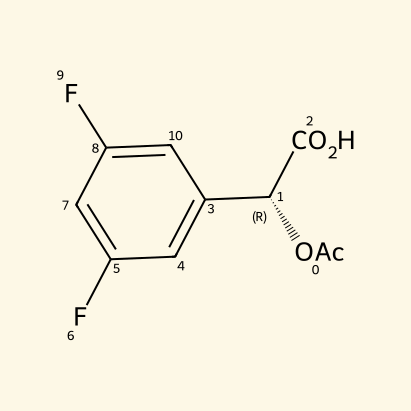 CC(=O)O[C@@H](C(=O)O)c1cc(F)cc(F)c1